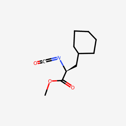 COC(=O)[C@H](CC1CCCCC1)N=C=O